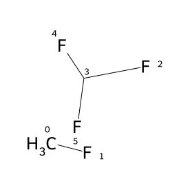 CF.FC(F)F